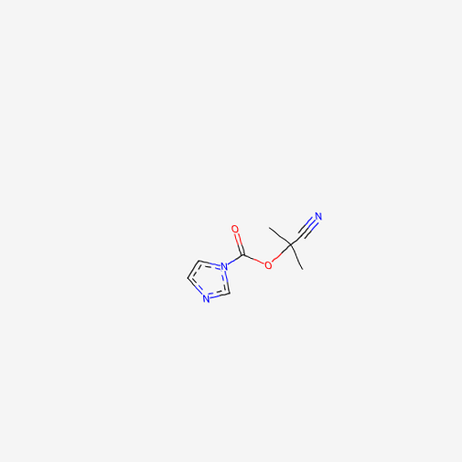 CC(C)(C#N)OC(=O)n1ccnc1